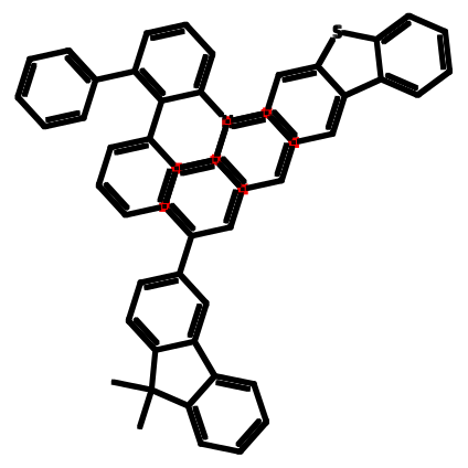 CC1(C)c2ccccc2-c2cc(-c3ccc(N(c4ccc5c(c4)sc4ccccc45)c4cccc(-c5ccccc5)c4-c4ccccc4-c4ccccc4)cc3)ccc21